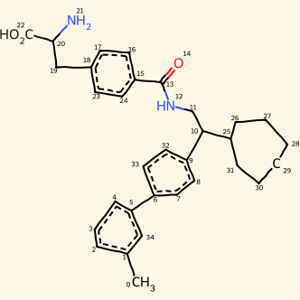 Cc1cccc(-c2ccc(C(CNC(=O)c3ccc(CC(N)C(=O)O)cc3)C3CCCCCC3)cc2)c1